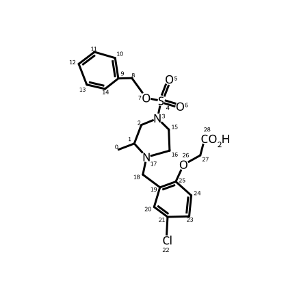 CC1CN(S(=O)(=O)OCc2ccccc2)CCN1Cc1cc(Cl)ccc1OCC(=O)O